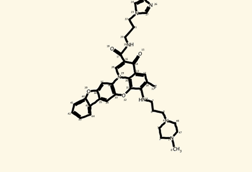 CN1CCN(CCCNc2c(F)cc3c(=O)c(C(=O)NCCCn4ccnc4)cn4c3c2Oc2cc3c(cc2-4)oc2ccccc23)CC1